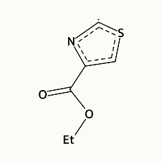 CCOC(=O)c1cs[c]n1